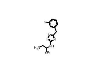 CCCC(CN)Nc1nc(Cc2cccc(F)c2)ns1